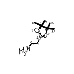 CC1(C)OB(CCN)OC1(C)C